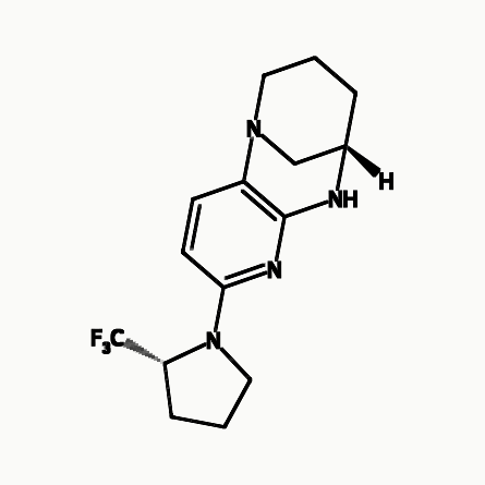 FC(F)(F)[C@H]1CCCN1c1ccc2c(n1)N[C@H]1CCCN2C1